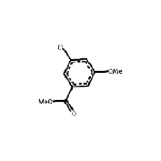 COC(=O)c1cc(Cl)cc(OC)c1